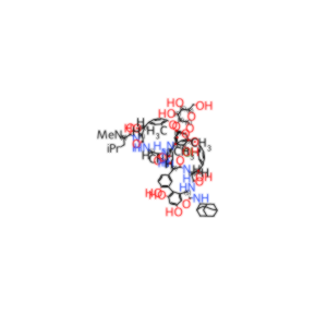 CN[C@H](CC(C)C)C(=O)N[C@H]1C(=O)N[C@@H](C)C(=O)N[C@H]2C(=O)N[C@H]3C(=O)N[C@H](C(=O)N[C@H](C(=O)NC4C5CC6CC(C5)CC4C6)c4cc(O)cc(O)c4-c4cc3ccc4O)[C@H](O)c3ccc(c(Cl)c3)Oc3cc2cc(c3O[C@@H]2O[C@H](CO)[C@@H](O)[C@H](O)[C@H]2O[C@H]2C[C@](C)(N)[C@H](O)[C@H](C)O2)Oc2ccc(cc2C)[C@H]1O